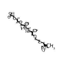 CC(=O)COCCOCC(=O)NCNC(=O)COCCOCC(=O)O